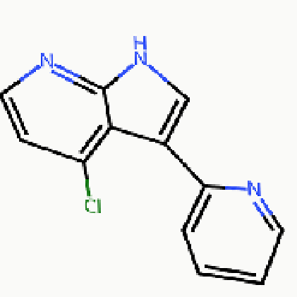 Clc1ccnc2[nH]cc(-c3ccccn3)c12